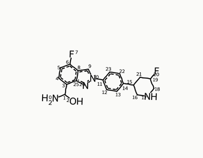 NC(O)c1ccc(F)c2cn(-c3ccc(C4CNCC(F)C4)cc3)nc12